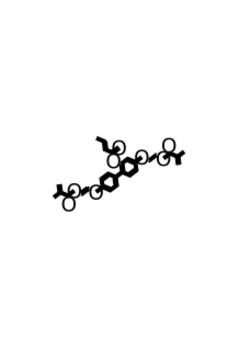 C=C(C)C(=O)O/C=C/Oc1ccc(-c2ccc(OCCOC(=O)C(=C)C)cc2OC(=O)/C=C/C)cc1